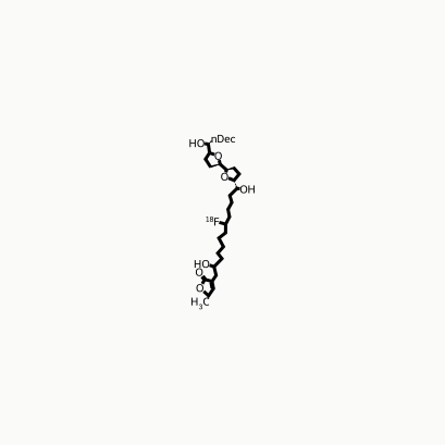 CCCCCCCCCC[C@@H](O)C1CC[C@H]([C@H]2CC[C@H](C(O)CCCCC([18F])CCCCCC(O)CC3=C[C@H](C)OC3=O)O2)O1